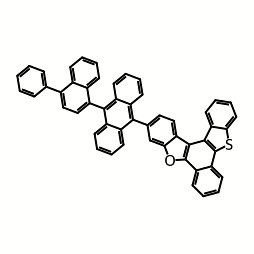 c1ccc(-c2ccc(-c3c4ccccc4c(-c4ccc5c(c4)oc4c6ccccc6c6sc7ccccc7c6c54)c4ccccc34)c3ccccc23)cc1